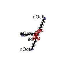 CCCCCCCC/C=C\CCCCCCCC(=O)OCC(COC(=O)C(CCCCCC/C=C\CCCCCCCC)OC(C)C)OC(=O)CCCCCCC/C=C\CCCCCCCC